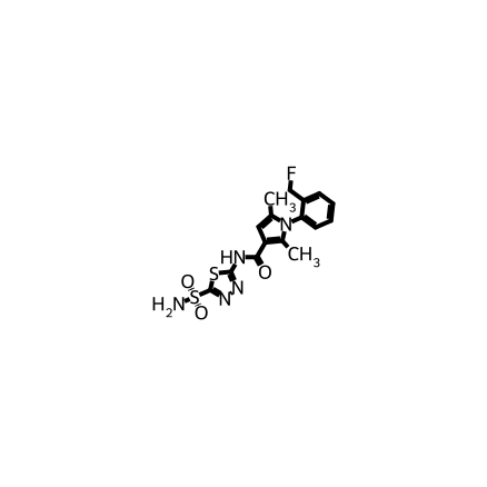 Cc1cc(C(=O)Nc2nnc(S(N)(=O)=O)s2)c(C)n1-c1ccccc1CF